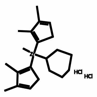 CC1=CC[C]([Zr]([CH3])([C]2=C(C)C(C)=CC2)[CH]2CCCCC2)=C1C.Cl.Cl